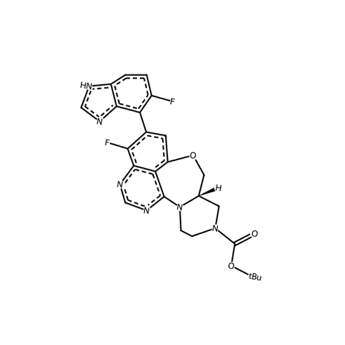 CC(C)(C)OC(=O)N1CCN2c3ncnc4c(F)c(-c5c(F)ccc6[nH]cnc56)cc(c34)OC[C@@H]2C1